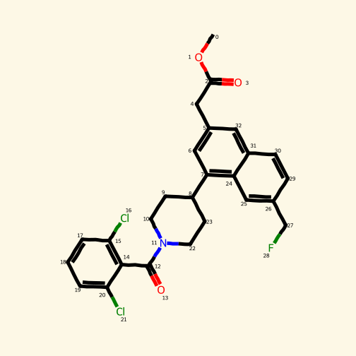 COC(=O)Cc1cc(C2CCN(C(=O)c3c(Cl)cccc3Cl)CC2)c2cc(CF)ccc2c1